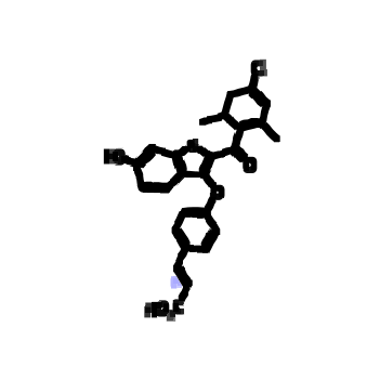 CC1=C(C(=O)c2sc3cc(O)ccc3c2Oc2ccc(/C=C/C(=O)O)cc2)C(C)CC(Cl)=C1